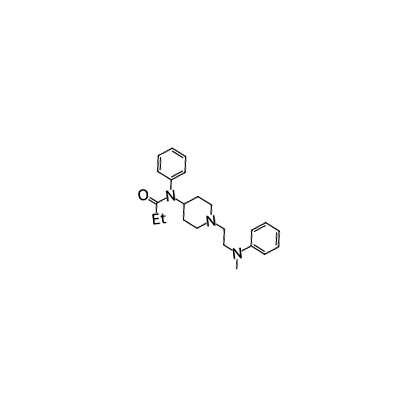 CCC(=O)N(c1ccccc1)C1CCN(CCN(C)c2ccccc2)CC1